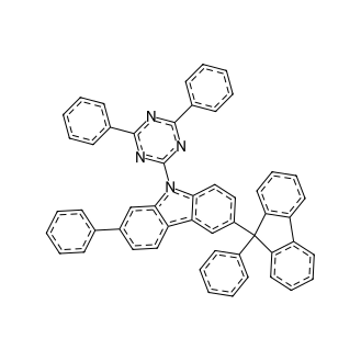 c1ccc(-c2ccc3c4cc(C5(c6ccccc6)c6ccccc6-c6ccccc65)ccc4n(-c4nc(-c5ccccc5)nc(-c5ccccc5)n4)c3c2)cc1